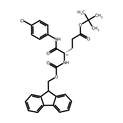 CC(C)(C)OC(=O)CC[C@H](NC(=O)OCC1c2ccccc2-c2ccccc21)C(=O)Nc1ccc(Cl)cc1